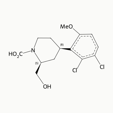 COc1ccc(Cl)c(Cl)c1[C@@H]1CCN(C(=O)O)[C@H](CO)C1